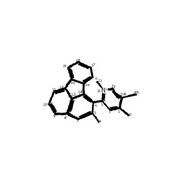 Cc1cc(-c2c(C)cc3cccc4c3c2-c2ccccc2-4)[n+](C)cc1C